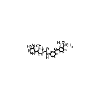 Cc1c[nH]c2ncnc(C3=CCN(C(=O)Nc4cccc(Oc5cccc(N(C)C)c5)c4)CC3)c12